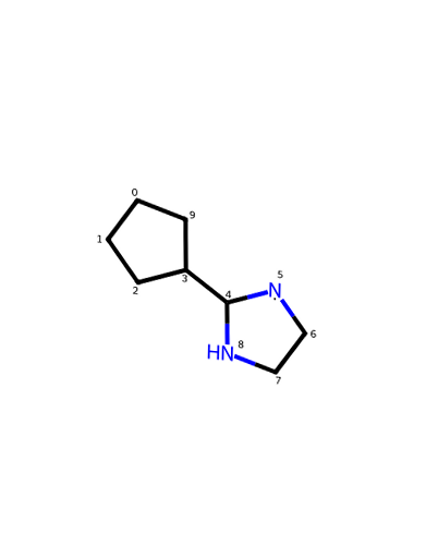 C1CCC(C2[N]CCN2)C1